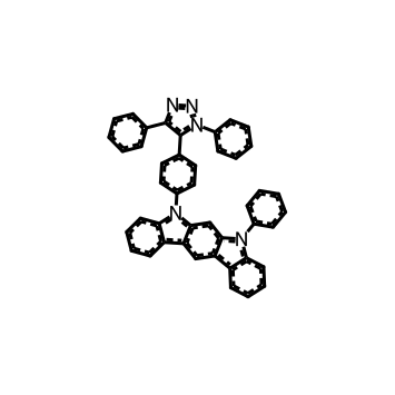 c1ccc(-c2nnn(-c3ccccc3)c2-c2ccc(-n3c4ccccc4c4cc5c6ccccc6n(-c6ccccc6)c5cc43)cc2)cc1